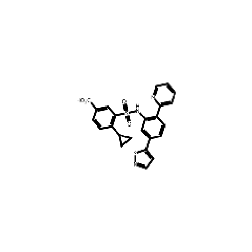 O=C(O)c1ccc(C2CC2)c(S(=O)(=O)Nc2cc(-c3ccns3)ccc2-c2ccccn2)c1